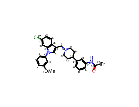 COc1cccc(-n2cc(CN3CCC(c4cccc(NC(=O)C(C)C)c4)CC3)c3ccc(Cl)cc32)c1